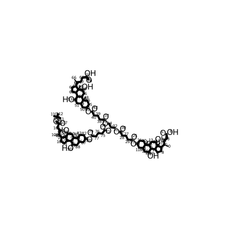 C[C@H](CCC(=O)O)C1CCC2C3C(C[C@H](O)[C@@]21C)[C@@]1(C)CC[C@@H](OC(=O)CCCC(=O)OCC(COC(=O)CCCC(=O)O[C@H]2CC[C@]4(C)C(C2)C[C@H](O)C2C4C[C@@H](O)[C@]4(C)C2CCC4[C@@H](C)CCC(=O)O)OC(=O)CCCC(=O)O[C@@H]2CC[C@@]4(C)C(C2)C[C@@H](O)C2C4C[C@H](O)[C@@]4(C)C2CCC4[C@H](C)CCC(=O)OC(C)(C)C)CC1C[C@H]3O